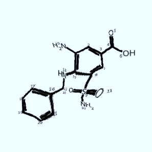 Nc1cc(C(=O)O)cc(S(N)(=O)=O)c1NCc1ccccc1